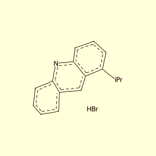 Br.CC(C)c1cccc2nc3ccccc3cc12